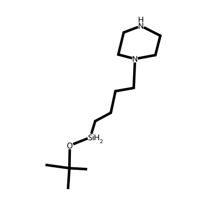 CC(C)(C)O[SiH2]CCCCN1CCNCC1